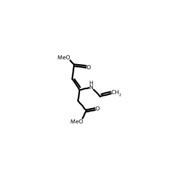 C=CNC(=CC(=O)OC)CC(=O)OC